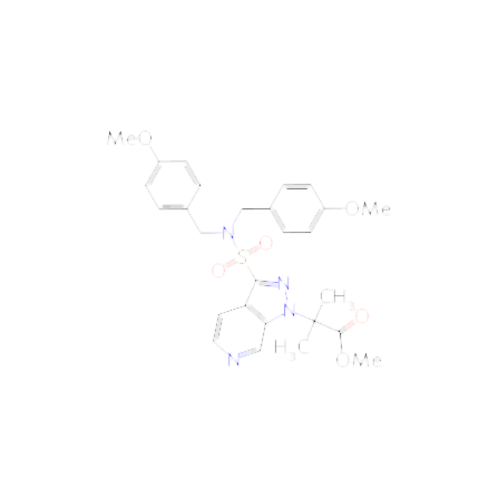 COC(=O)C(C)(C)n1nc(S(=O)(=O)N(Cc2ccc(OC)cc2)Cc2ccc(OC)cc2)c2ccncc21